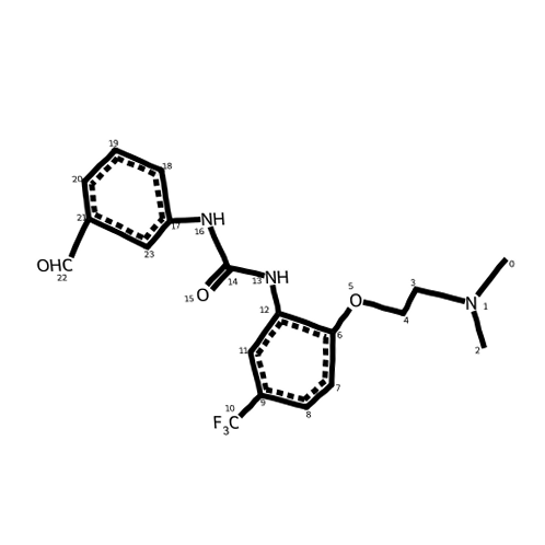 CN(C)CCOc1ccc(C(F)(F)F)cc1NC(=O)Nc1cccc(C=O)c1